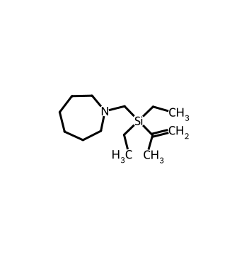 C=C(C)[Si](CC)(CC)CN1CCCCCC1